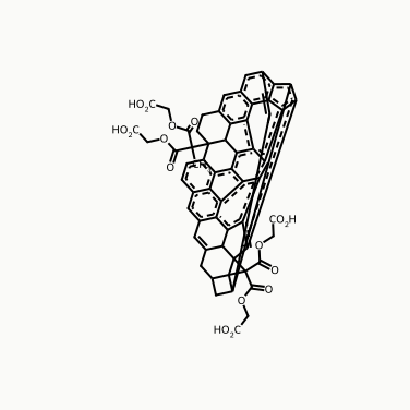 CC(C(=O)OCC(=O)O)(C(=O)OCC(=O)O)C12CCc3cc4cc5c6c7c8c9c%10c%11c%12c(cc%13ccc1c1c%14c%15c%16c(c3C%152)c4c6c8c%16c%10c%14c%12c%131)C=C1CC2CC7(C=C5)C23C(C(=O)OCC(=O)O)(C(=O)OCC(=O)O)C93C1%11